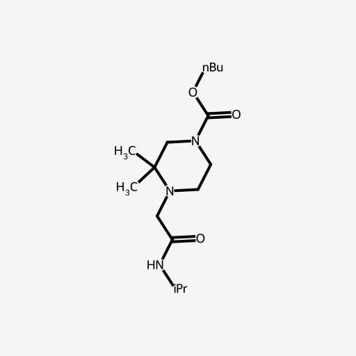 CCCCOC(=O)N1CCN(CC(=O)NC(C)C)C(C)(C)C1